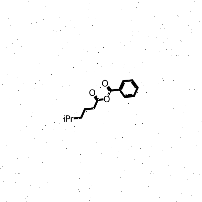 CC(C)CCCC(=O)OC(=O)c1ccccc1